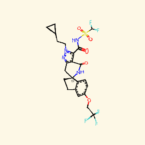 O=C1N[C@@]2(CCc3cc(OCC(F)(F)F)ccc32)Cc2nn(CCC3CC3)c(C(=O)NS(=O)(=O)C(F)F)c21